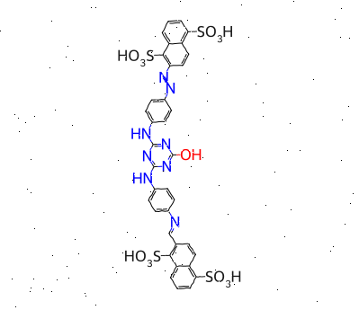 O=S(=O)(O)c1cccc2c(S(=O)(=O)O)c(/C=N/c3ccc(Nc4nc(O)nc(Nc5ccc(/N=N/c6ccc7c(S(=O)(=O)O)cccc7c6S(=O)(=O)O)cc5)n4)cc3)ccc12